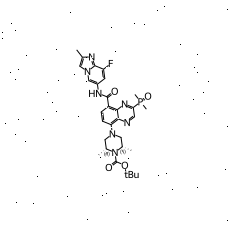 Cc1cn2cc(NC(=O)c3ccc(N4C[C@@H](C)N(C(=O)OC(C)(C)C)[C@@H](C)C4)c4ncc(P(C)(C)=O)nc34)cc(F)c2n1